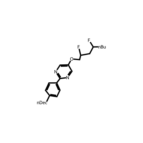 CCCCCCCCCCc1ccc(-c2ncc(OCC(F)CC(F)CCCC)cn2)cc1